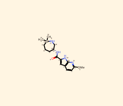 COc1ccc2cc(C(=O)N[C@@H]3CCC[Si](C)(C)NC3)[nH]c2n1